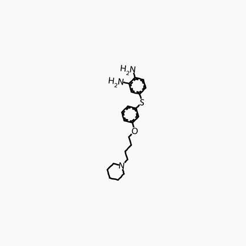 Nc1ccc(Sc2cccc(OCCCCN3CCCCC3)c2)cc1N